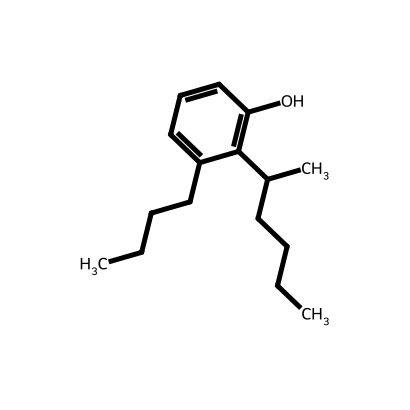 CCCCc1cccc(O)c1C(C)CCCC